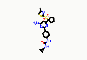 Cc1csc(S(=O)(=O)C2(c3cc(N)nc(-c4ccc(NC(=O)NC5CC5)cc4)n3)CCCC2)n1